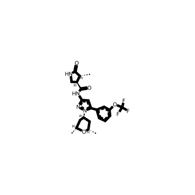 C[C@@H]1C[C@H](n2nc(NC(=O)[C@H]3CNC(=O)[C@@H]3C)cc2-c2cccc(OC(F)(F)F)c2)C[C@H](C)O1